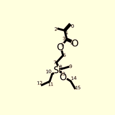 C=C(C)C(=O)OCC[Si](C)(CCC)OCC